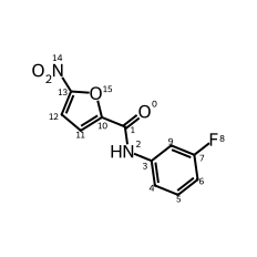 O=C(Nc1cccc(F)c1)c1ccc([N+](=O)[O-])o1